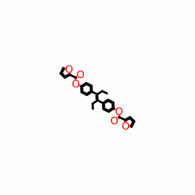 CC/C(=C(/CC)c1ccc(OC(=O)c2ccco2)cc1)c1ccc(OC(=O)c2ccco2)cc1